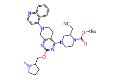 CN1CCCC1COc1nc2c(c(N3CCN(C(=O)OC(C)(C)C)C(CC#N)C3)n1)CCN(c1ccnc3ccccc13)C2